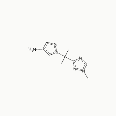 Cn1cnc(C(C)(C)n2cc(N)cn2)n1